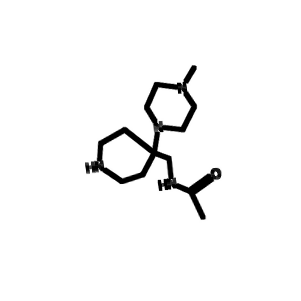 CC(=O)NCC1(N2CCN(C)CC2)CCNCC1